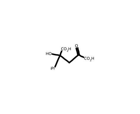 CC(C)C(O)(CC(=O)C(=O)O)C(=O)O